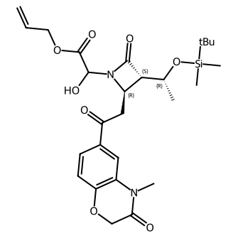 C=CCOC(=O)C(O)N1C(=O)[C@H]([C@@H](C)O[Si](C)(C)C(C)(C)C)[C@H]1CC(=O)c1ccc2c(c1)N(C)C(=O)CO2